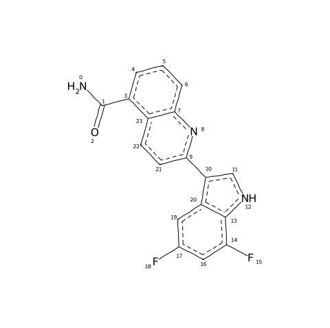 NC(=O)c1cccc2nc(-c3c[nH]c4c(F)cc(F)cc34)ccc12